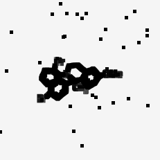 COc1ccc2c(c1)CCN(c1ccccc1C(C)C)C2(C)c1ccc(Br)cc1